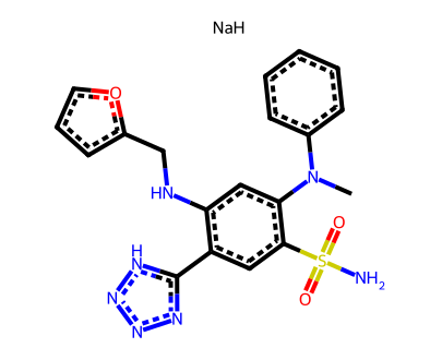 CN(c1ccccc1)c1cc(NCc2ccco2)c(-c2nnn[nH]2)cc1S(N)(=O)=O.[NaH]